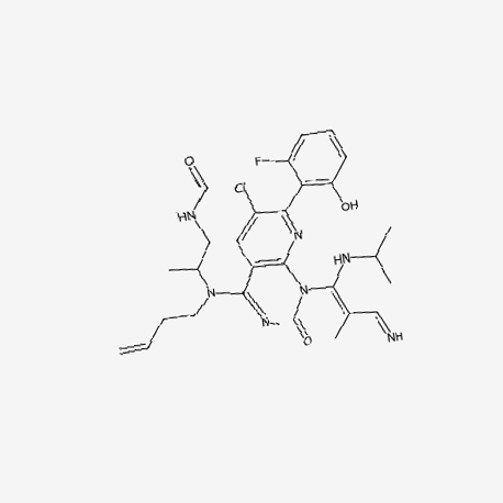 C=CCCN(/C(=N/C)c1cc(Cl)c(-c2c(O)cccc2F)nc1N(C=O)/C(NC(C)C)=C(\C)C=N)C(C)CNC=O